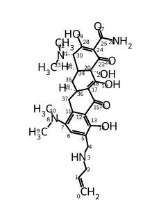 C=CCNCc1cc(N(C)C)c2c(c1O)C(=O)C1=C(O)[C@]3(O)C(=O)C(C(N)=O)=C(O)[C@@H](N(C)C)[C@@H]3C[C@@H]1C2